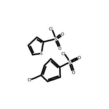 O=S(=O)(Cl)c1ccc(Cl)cc1.O=S(=O)(Cl)c1cccs1